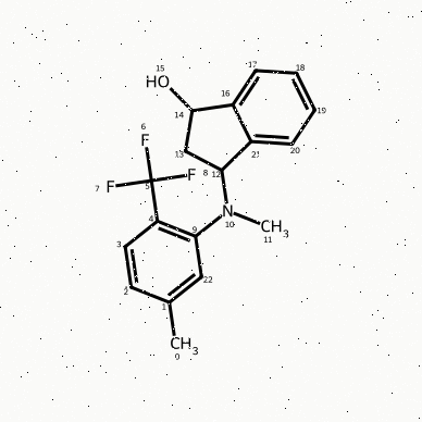 Cc1[c]cc(C(F)(F)F)c(N(C)C2CC(O)c3ccccc32)c1